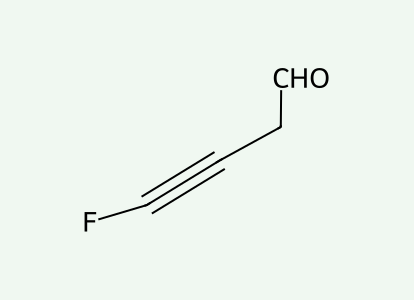 O=CCC#CF